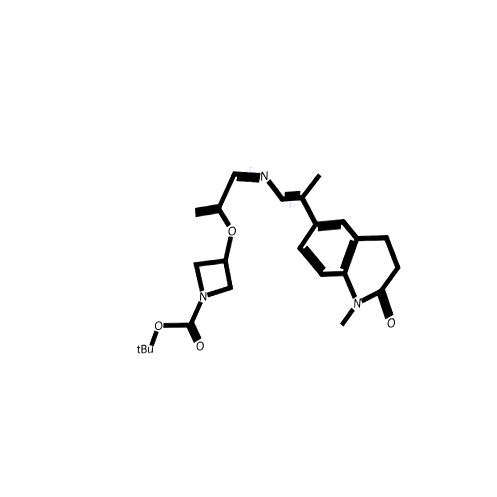 C=C(/C=N\C=C(/C)c1ccc2c(c1)CCC(=O)N2C)OC1CN(C(=O)OC(C)(C)C)C1